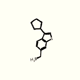 BCc1ccc2c(C3CCCC3)csc2c1